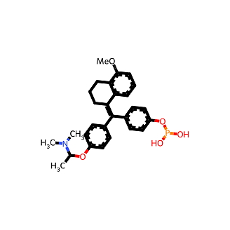 COc1cccc2c1CCCC2=C(c1ccc(OC(C)N(C)C)cc1)c1ccc(OP(O)O)cc1